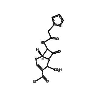 CCC(=O)C1=CS[C@@H]2C(NC(=O)Cc3cccs3)C(=O)N2C1C(=O)O